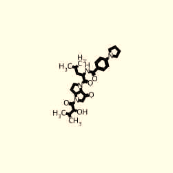 CC(C)CC(NC(=O)c1ccc(N2CCCC2)cc1)C(=O)N1CCC2C1C(=O)CN2C(=O)C(O)C(C)C